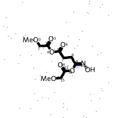 COCC(=O)OC(=O)CC/C(=N/O)OC(=O)COC